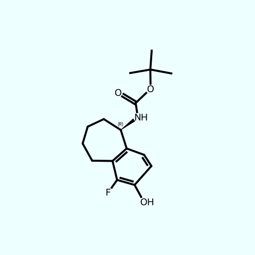 CC(C)(C)OC(=O)N[C@@H]1CCCCc2c1ccc(O)c2F